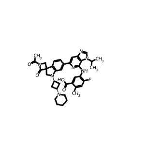 CC(=O)N1CC2(CN([C@H]3C[C@@H](N4CCCCC4)C3)c3cc(-c4cc5ncn(C(C)C)c5c(Nc5cc(C(=O)O)c(C)cc5F)n4)ccc32)C1=O